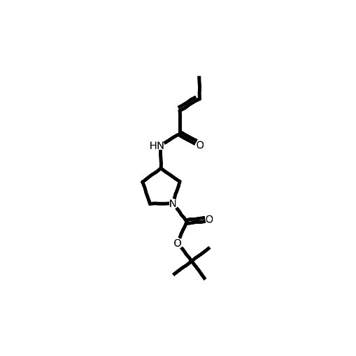 C/C=C/C(=O)NC1CCN(C(=O)OC(C)(C)C)C1